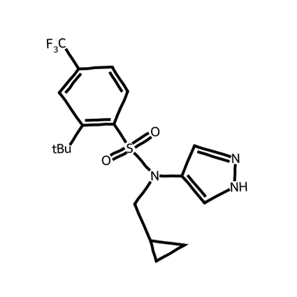 CC(C)(C)c1cc(C(F)(F)F)ccc1S(=O)(=O)N(CC1CC1)c1cn[nH]c1